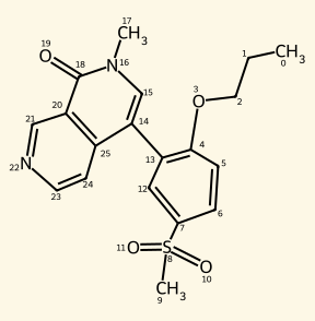 CCCOc1ccc(S(C)(=O)=O)cc1-c1cn(C)c(=O)c2cnccc12